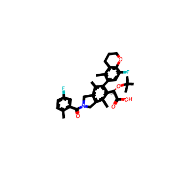 Cc1ccc(F)cc1C(=O)N1Cc2c(C)c(-c3cc(F)c4c(c3C)CCCO4)c([C@H](OC(C)(C)C)C(=O)O)c(C)c2C1